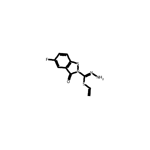 C=CS/C(=N\N)n1sc2ccc(F)cc2c1=O